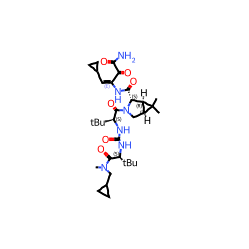 CN(CC1CC1)C(=O)[C@@H](NC(=O)N[C@H](C(=O)N1C[C@H]2[C@@H]([C@H]1C(=O)N/C(=C/C1CC1)C(=O)C(N)=O)C2(C)C)C(C)(C)C)C(C)(C)C